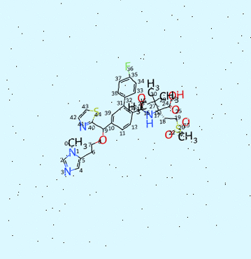 Cn1cncc1CCOC(c1ccc(C(=O)N[C@](CCS(C)(=O)=O)(C(=O)O)C(C)(C)C)c(-c2ccc(F)cc2)c1)c1nccs1